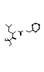 CC(C)CC(NC(=O)OCc1ccccc1)C(=O)C1(CO)CO1